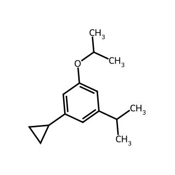 CC(C)Oc1cc(C(C)C)cc(C2CC2)c1